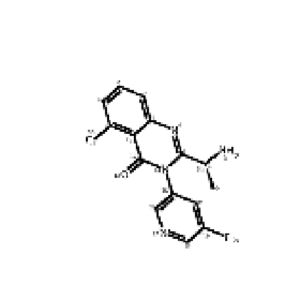 C[C@H](N)c1nc2cccc(Cl)c2c(=O)n1-c1cncc(F)c1